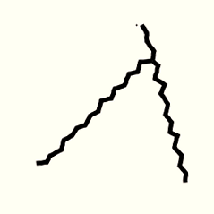 [CH2]CCCC(CCCCCCCCCCCCCC)CCCCCCCCCCCCCCCCC